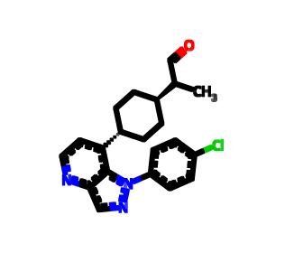 CC(C=O)[C@H]1CC[C@H](c2ccnc3cnn(-c4ccc(Cl)cc4)c32)CC1